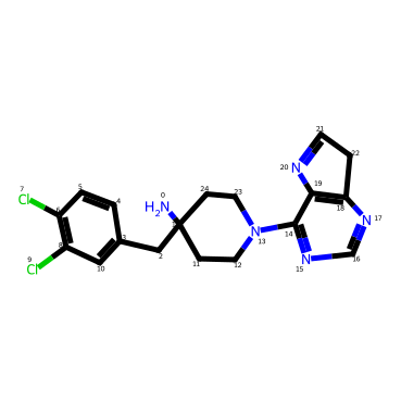 NC1(Cc2ccc(Cl)c(Cl)c2)CCN(c2ncnc3c2N=CC3)CC1